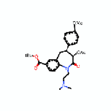 COc1ccc([C@@H]2Cc3cc(C(=O)OC(C)(C)C)ccc3N(CCN(C)C)C(=O)[C@@H]2OC(C)=O)cc1